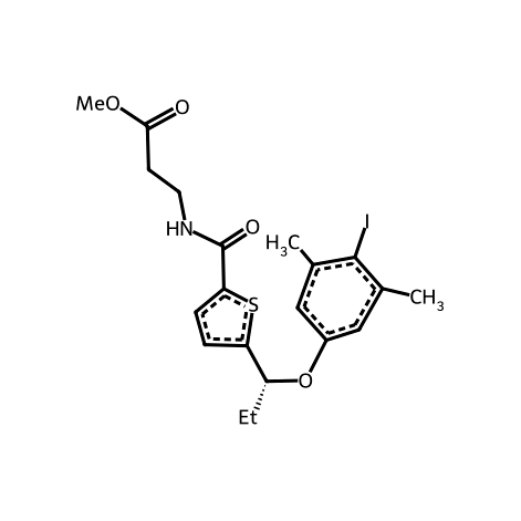 CC[C@@H](Oc1cc(C)c(I)c(C)c1)c1ccc(C(=O)NCCC(=O)OC)s1